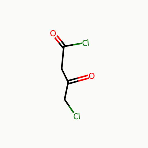 O=C(Cl)CC(=O)CCl